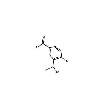 O=C(Cl)c1ccc(Br)c(C(Br)Br)c1